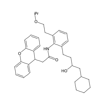 CC(C)OCCc1cccc(CCC(O)CC2CCCCC2)c1NC(=O)CC1c2ccccc2Oc2ccccc21